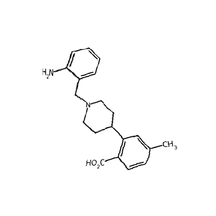 Cc1ccc(C(=O)O)c(C2CCN(Cc3ccccc3N)CC2)c1